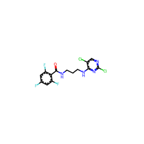 O=C(NCCCNc1nc(Cl)ncc1Cl)c1c(F)cc(F)cc1F